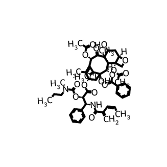 C=C(/C=C\C)C(=O)N[C@@H](c1ccccc1)[C@@H](OC(=O)N(C)CCC)C(=O)O[C@H]1C[C@@]2(O)[C@@H](OC(=O)c3ccccc3)[C@@H]3[C@]4(OC(C)=O)CO[C@@H]4C[C@H](O)[C@@]3(C)C(=O)[C@H](OC(C)=O)C(=C1C)C2(C)C